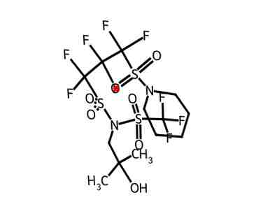 CC(C)(O)CN(S(=O)(=O)C(F)(F)F)S(=O)(=O)C(F)(F)C(F)(F)C(F)(F)S(=O)(=O)N1CCCCC1